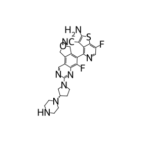 N#Cc1c(N)sc2c(F)cnc(-c3c4c(c5cnc(N6CC[C@@H](N7CCNCC7)C6)nc5c3F)COC4)c12